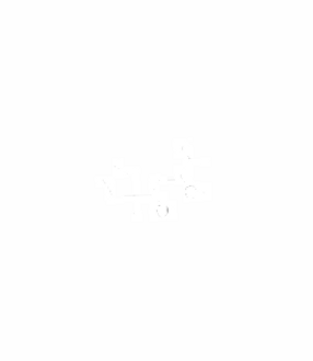 CCC(C)(CC)C(=O)/C=C(\OC)C(C)C